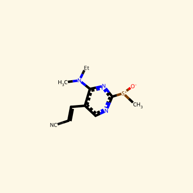 CCN(C)c1nc([S+](C)[O-])ncc1C=CC#N